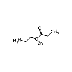 CCC(=O)OCCN.[Zn]